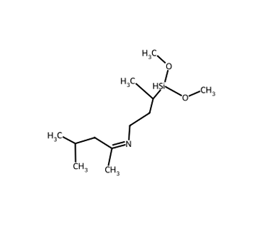 CO[SiH](OC)C(C)CCN=C(C)CC(C)C